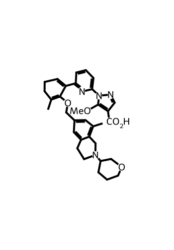 COc1c(C(=O)O)cnn1-c1cccc(C2=CCCC(C)=C2OCc2cc(C)c3c(c2)CCN(C2CCCOC2)C3)n1